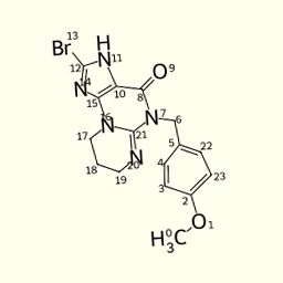 COc1ccc(CN2C(=O)c3[nH]c(Br)nc3N3CCCN=C23)cc1